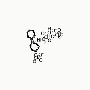 N.[O-][Cl+3]([O-])([O-])O.[O-][Cl+3]([O-])([O-])[O-].[O-][Cl+3]([O-])([O-])[O-].c1cc[n+](-[n+]2ccccc2)cc1